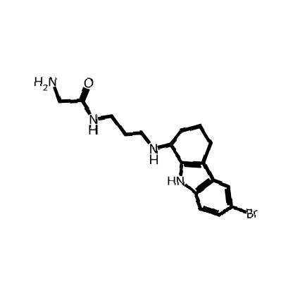 NCC(=O)NCCCNC1CCCc2c1[nH]c1ccc(Br)cc21